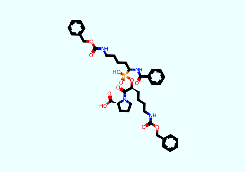 O=C(NCCCCC(NC(=O)c1ccccc1)P(=O)(O)O[C@@H](CCCCNC(=O)OCc1ccccc1)C(=O)N1CCC[C@H]1C(=O)O)OCc1ccccc1